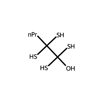 CCCC(S)(S)C(O)(S)S